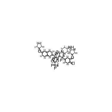 NC1CCN(C(=O)[C@H](N(OC(=O)C(F)(F)F)S(=O)(=O)c2ccc3cc(OC4CCCC4)ccc3c2)C(F)(F)c2ccc(Cl)c(OC3CCCC3)c2)CC1